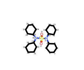 O=S(=O)(N(C1CCCCC1)C1CCCCC1)N(C1CCCCC1)C1CCCCC1